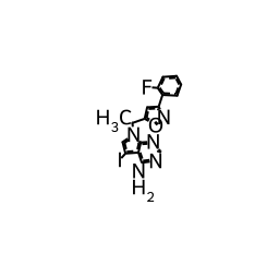 CC(c1cc(-c2ccccc2F)no1)n1cc(I)c2c(N)ncnc21